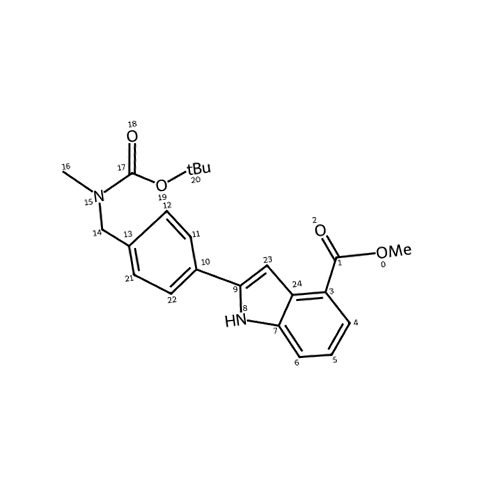 COC(=O)c1cccc2[nH]c(-c3ccc(CN(C)C(=O)OC(C)(C)C)cc3)cc12